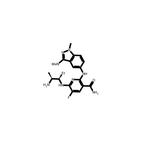 CC[C@@H](Nc1nc(Nc2ccc3c(c2)c(NC)nn3C)c(C(N)=O)cc1F)[C@H](C)N